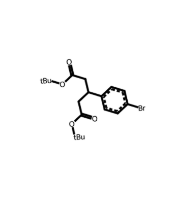 CC(C)(C)OC(=O)CC(CC(=O)OC(C)(C)C)c1ccc(Br)cc1